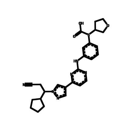 N#CCC(C1CCCC1)n1cc(-c2ccnc(Nc3cccc(N(C(=O)O)C4CCOC4)c3)n2)cn1